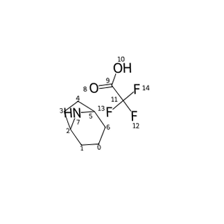 C1CC2CCC(C1)N2.O=C(O)C(F)(F)F